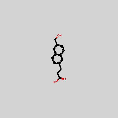 O=C(O)CCc1ccc2cc(CO)ccc2c1